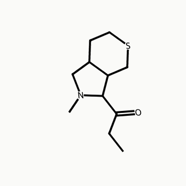 CCC(=O)C1C2CSCCC2CN1C